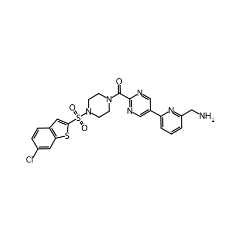 NCc1cccc(-c2cnc(C(=O)N3CCN(S(=O)(=O)c4cc5ccc(Cl)cc5s4)CC3)nc2)n1